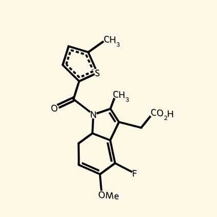 COC1=CCC2C(=C1F)C(CC(=O)O)=C(C)N2C(=O)c1ccc(C)s1